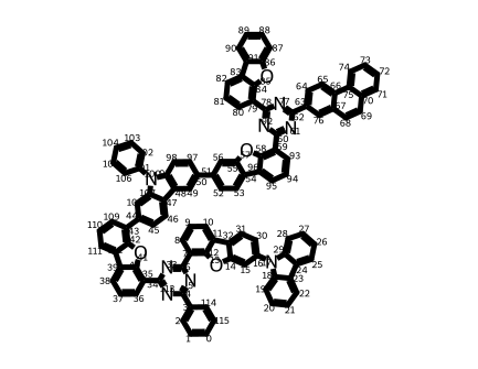 c1ccc(-c2nc(-c3cccc4c3oc3cc(-n5c6ccccc6c6ccccc65)ccc34)nc(-c3cccc4c3oc3c(-c5ccc6c7cc(-c8ccc9c(c8)oc8c(-c%10nc(-c%11ccc%12c(ccc%13ccccc%13%12)c%11)nc(-c%11cccc%12c%11oc%11ccccc%11%12)n%10)cccc89)ccc7n(-c7ccccc7)c6c5)cccc34)n2)cc1